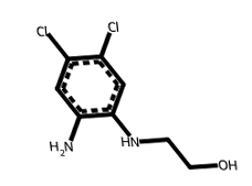 Nc1cc(Cl)c(Cl)cc1NCCO